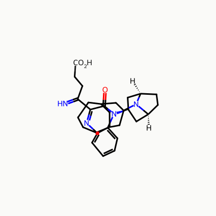 N=C(CCC(=O)O)c1nc2ccccc2n([C@H]2C[C@H]3CC[C@@H](C2)N3C2CC3CCCCC(C3)C2)c1=O